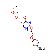 CC(C)(C)c1ccc(OCC2Cn3cc(CCOC4CCCCO4)c(=O)nc3O2)cc1